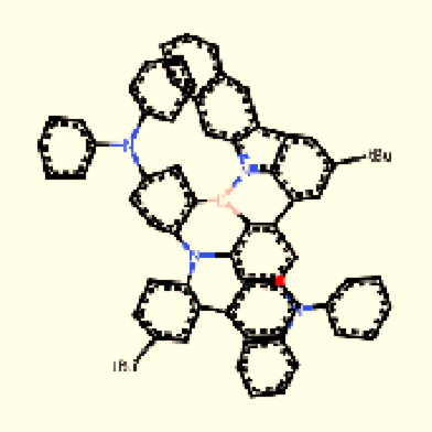 CC(C)(C)c1ccc(N2c3ccc(N(c4ccccc4)c4ccccc4)cc3B3c4c(cc(N(c5ccccc5)c5ccccc5)cc42)-c2cc(C(C)(C)C)cc4c5cc6ccccc6cc5n3c24)c(-c2ccccc2)c1